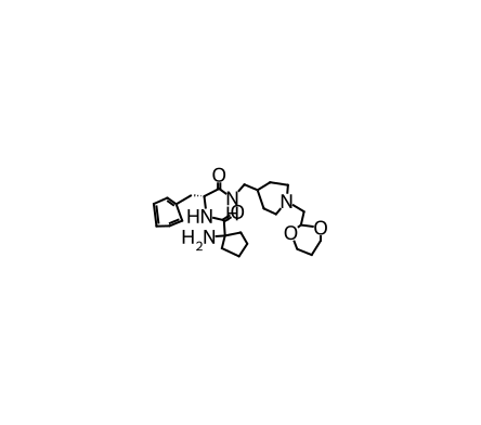 NC1(C(=O)N[C@H](Cc2ccccc2)C(=O)NCC2CCN(CC3OCCCO3)CC2)CCCC1